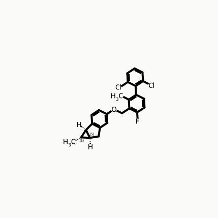 Cc1c(-c2c(Cl)cccc2Cl)ccc(F)c1COc1ccc2c(c1)C[C@H]1[C@H](C)[C@@H]21